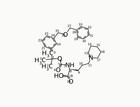 CC(C)(C)OC(=O)N[C@@H](CCCN1CCCCC1)C(=O)O.c1ccc(COCc2ccccc2)cc1